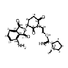 CN1CCC[C@H]1C(=N)OCCN1C(=O)CCC(N2C(=O)c3cccc(N)c3C2=O)C1=O